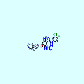 Nc1cc2c(Nc3ccc(F)c(Cl)c3)ncnc2cc1OCC1CCC2(CCNCC2)O1